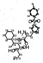 Cc1ccc(S(=O)(=O)n2cnc(C[C@H](N)C(=O)N[C@@H](C(C)C3CCCCC3)[C@@H](O)[C@@H](O)CC(C)C)c2)cc1